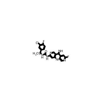 C[C@@H](NC(=O)Nc1cc(N)c(C(=N)c2ccnc(F)c2)cn1)c1ccc(F)c(Cl)c1